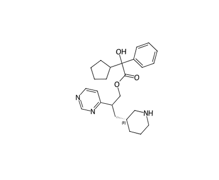 O=C(OCC(C[C@H]1CCCNC1)c1ccncn1)C(O)(c1ccccc1)C1CCCC1